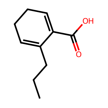 CCCC1=CCCC=C1C(=O)O